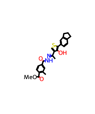 COC(=O)c1ccc(C(=O)N/N=C(\C)c2csc(-c3ccc4c(c3)CCC4)c2O)cc1C